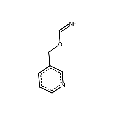 N=COCc1[c]nccc1